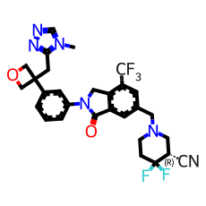 Cn1cnnc1CC1(c2cccc(N3Cc4c(cc(CN5CCC(F)(F)[C@@H](C#N)C5)cc4C(F)(F)F)C3=O)c2)COC1